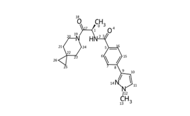 C[C@@H](NC(=O)c1ccc(-c2ccn(C)n2)cc1)C(=O)N1CCC2(CC1)CC2